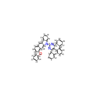 c1ccc(-c2nc(-n3c4ccccc4c4cc5ccc6c7ccccc7oc6c5cc43)nc3c4ccccc4c4ccccc4c23)cc1